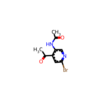 CC(=O)Nc1cnc(Br)cc1C(C)=O